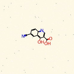 N#Cc1ccc2ncc(C(=O)O)c(O)c2c1